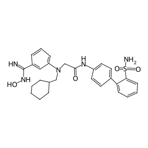 N=C(NO)c1cccc(N(CC(=O)Nc2ccc(-c3ccccc3S(N)(=O)=O)cc2)CC2CCCCC2)c1